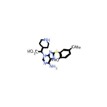 COc1ccc(OC)c(Sc2nc3c(N)ncn(C(C(=O)O)C4CCNCC4)c-3n2)c1